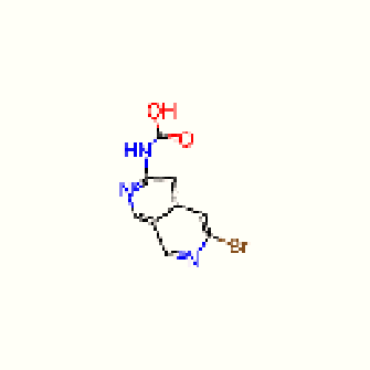 O=C(O)Nc1cc2cc(Br)ncc2cn1